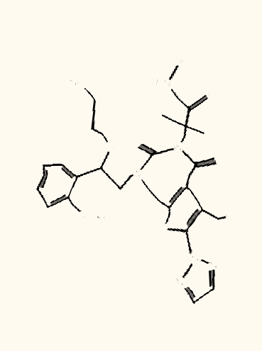 COc1ccccc1C(Cn1c(=O)n(C(C)(C)C(=O)NC(C)C)c(=O)c2c(C)c(-n3nccn3)sc21)OCCC#N